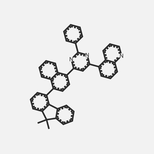 CC1(C)c2ccccc2-c2c(-c3ccc(-c4cc(-c5cccc6ncccc56)nc(-c5ccccc5)n4)c4ccccc34)cccc21